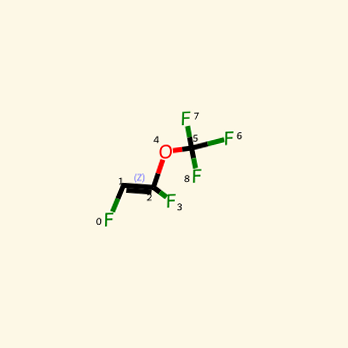 F/C=C(\F)OC(F)(F)F